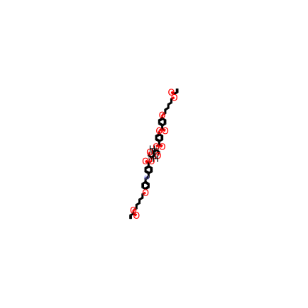 C=CC(=O)OCCCCCCOc1ccc(/C=C/c2ccc(C(=O)O[C@H]3CO[C@H]4[C@@H]3OC[C@H]4OC(=O)c3ccc(OC(=O)c4ccc(OCCCCCCOC(=O)C=C)cc4)cc3)cc2)cc1